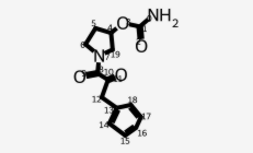 NC(=O)OC1CCN(C(=O)C(=O)Cc2ccccc2)C1